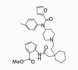 COC(=O)c1ccccc1NC(=O)CC1(CCN2CCC(N(C(=O)c3ccco3)c3ccc(C)cc3)CC2)CCCCC1